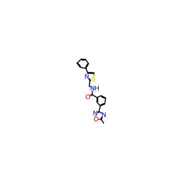 Cc1nc(-c2cccc(C(=O)NCc3nc(-c4ccccc4)cs3)c2)no1